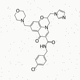 O=C(NCc1ccc(Cl)cc1)c1cn2c3c(cc(CN4CCOCC4)cc3c1=O)OC(Cn1ccnc1)C2